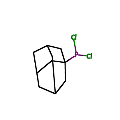 ClP(Cl)C12CC3CC(CC(C3)C1)C2